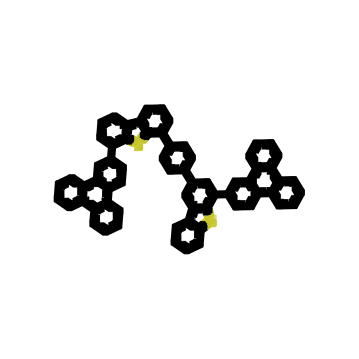 c1ccc2c(c1)sc1c(-c3ccc4c5ccccc5c5ccccc5c4c3)cc(-c3ccc(-c4cccc5c4sc4c(-c6ccc7c8ccccc8c8ccccc8c7c6)cccc45)cc3)cc12